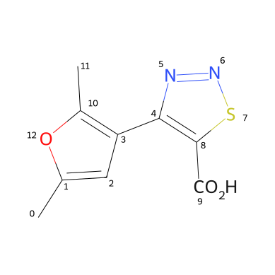 Cc1cc(-c2nnsc2C(=O)O)c(C)o1